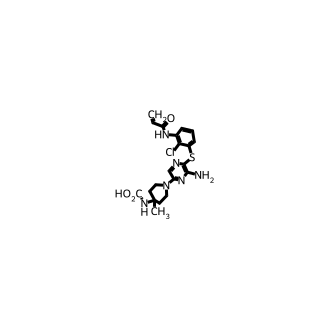 C=CC(=O)Nc1cccc(Sc2ncc(N3CCC(C)(NC(=O)O)CC3)nc2N)c1Cl